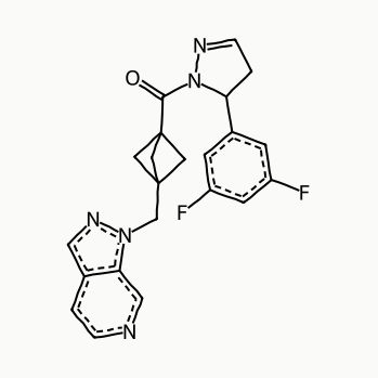 O=C(N1N=CCC1c1cc(F)cc(F)c1)C12CC(Cn3ncc4ccncc43)(C1)C2